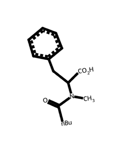 CCCCC(=O)N(C)C(Cc1ccccc1)C(=O)O